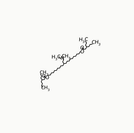 CCCCC(CCCC)CC(=O)OCCCCCCCCCCC(CCCCCCCCCCOC(=O)CC(CCCC)CCCC)CCN(C)CC